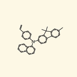 C=Cc1ccc(N(c2ccc3c(c2)C(C)(C)c2cc(C)ccc2-3)c2cccc3ccccc23)cc1